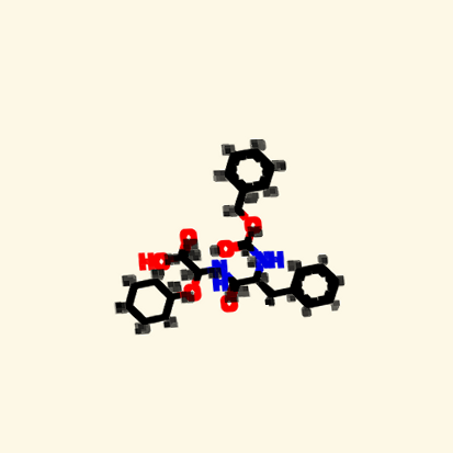 O=C(N[C@@H](Cc1ccccc1)C(=O)NC(OC1CCCCC1)C(=O)O)OCc1ccccc1